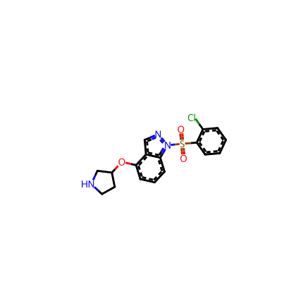 O=S(=O)(c1ccccc1Cl)n1ncc2c(OC3CCNC3)cccc21